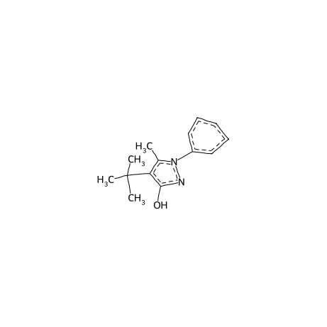 Cc1c(C(C)(C)C)c(O)nn1-c1ccccc1